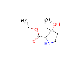 CCOC(=O)C1NCCC1(O)CC